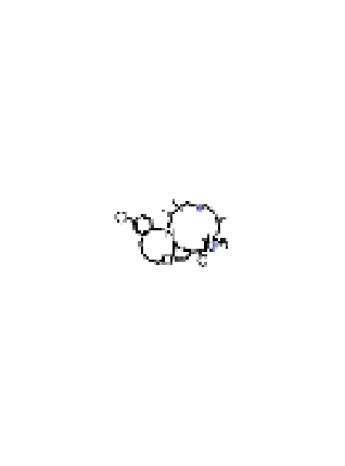 C[C@H]1C/C=C/C[C@H](C)[C@@H](C)CN2Cc3ccc(Cl)cc3CCCCOc3ccc(cc32)C(=O)/N=[SH](=O)\C1